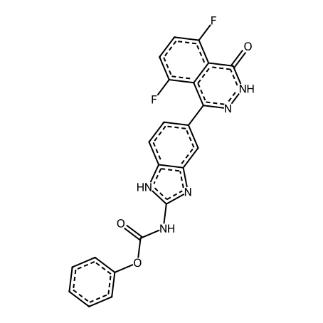 O=C(Nc1nc2cc(-c3n[nH]c(=O)c4c(F)ccc(F)c34)ccc2[nH]1)Oc1ccccc1